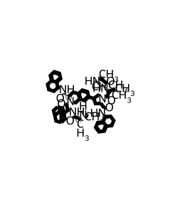 CN[C@@H](C)C(=O)NC(C(=O)N1CC(c2ccc3c(c2)CN(C(=O)C(NC(=O)[C@H](C)NC)C24CC5CC(CC(C5)C2)C4)[C@H](C(=O)NC2CCCc4ccccc42)C3)CC1C(=O)N[C@@H]1CCCc2ccccc21)C(C)(C)C